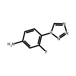 Nc1ccc(-n2cnnn2)c(F)c1